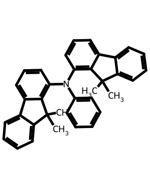 CC1(C)c2ccccc2-c2cccc(N(c3ccccc3)c3cccc4c3C(C)(C)c3ccccc3-4)c21